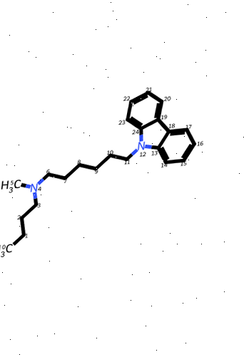 CCCCN(C)CCCCCCn1c2ccccc2c2ccccc21